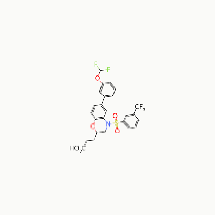 O=C(O)CCC1CN(S(=O)(=O)c2cccc(C(F)(F)F)c2)c2cc(-c3cccc(OC(F)F)c3)ccc2O1